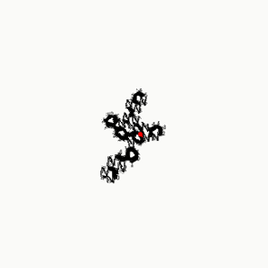 c1cc(-c2cnc3ncncc3n2)cc(-n2c3ccccc3c3c2ccc2c4ccccc4n(-c4nc(-c5cnc6ncccc6n5)nc(-c5cnc6cccnc6n5)n4)c23)c1